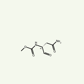 COC(=O)N[C@@H]([C]=O)CC(N)=O